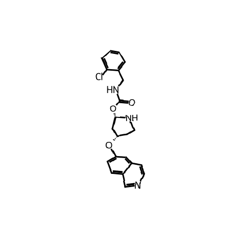 O=C(NCc1ccccc1Cl)O[C@H]1C[C@@H](Oc2ccc3cnccc3c2)CCN1